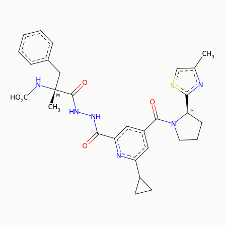 Cc1csc([C@H]2CCCN2C(=O)c2cc(C(=O)NNC(=O)[C@@](C)(Cc3ccccc3)NC(=O)O)nc(C3CC3)c2)n1